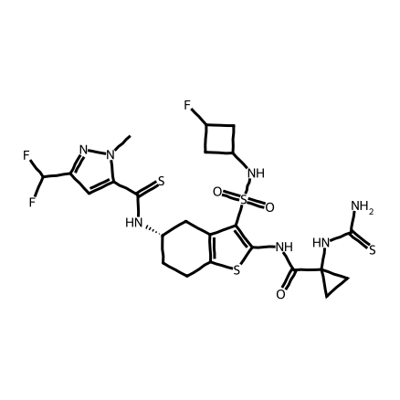 Cn1nc(C(F)F)cc1C(=S)N[C@H]1CCc2sc(NC(=O)C3(NC(N)=S)CC3)c(S(=O)(=O)NC3CC(F)C3)c2C1